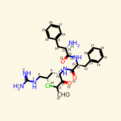 N=C(N)NCCC[C@H](NC(=O)[C@H](Cc1ccccc1)NC(=O)[C@@H](N)Cc1ccccc1)C(=O)C(Cl)C=O